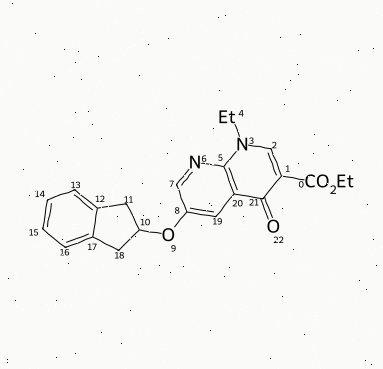 CCOC(=O)c1cn(CC)c2ncc(OC3Cc4ccccc4C3)cc2c1=O